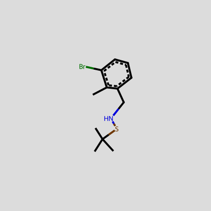 Cc1c(Br)cccc1CNSC(C)(C)C